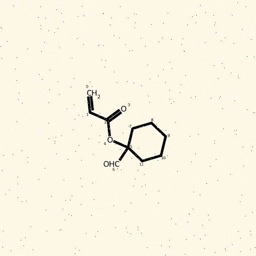 C=CC(=O)OC1(C=O)CCCCC1